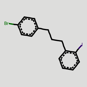 Brc1ccc(CCCc2ccccc2I)cc1